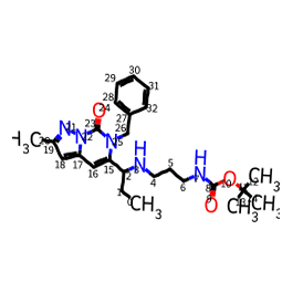 CCC(NCCCNC(=O)OC(C)(C)C)c1cc2cc(C)nn2c(=O)n1Cc1ccccc1